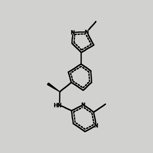 Cc1nccc(N[C@@H](C)c2cccc(-c3cnn(C)c3)c2)n1